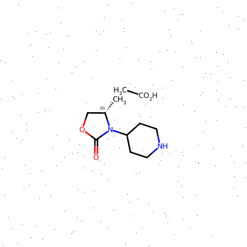 CC(=O)O.C[C@H]1COC(=O)N1C1CCNCC1